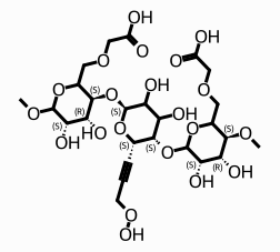 COC1OC(COCC(=O)O)[C@@H](O[C@@H]2O[C@@H](C#CCOO)[C@@H](OC3OC(COCC(=O)O)[C@@H](OC)[C@H](O)[C@@H]3O)C(O)C2O)[C@H](O)[C@@H]1O